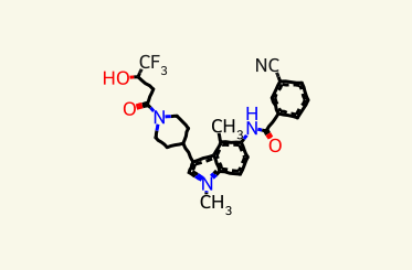 Cc1c(NC(=O)c2cccc(C#N)c2)ccc2c1c(C1CCN(C(=O)CC(O)C(F)(F)F)CC1)cn2C